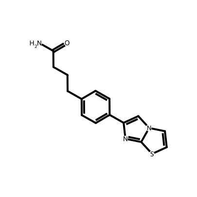 NC(=O)CCCc1ccc(-c2cn3ccsc3n2)cc1